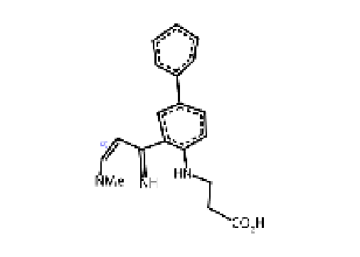 CN/C=C\C(=N)c1cc(-c2ccccc2)ccc1NCCC(=O)O